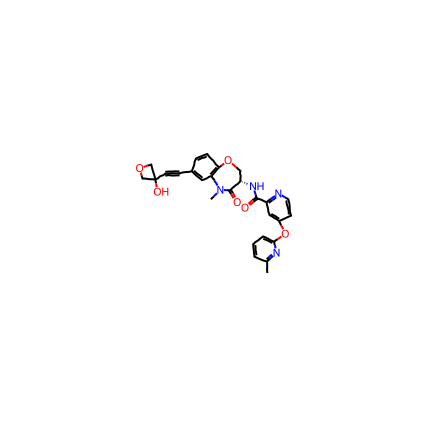 Cc1cccc(Oc2ccnc(C(=O)N[C@H]3COc4ccc(C#CC5(O)COC5)cc4N(C)C3=O)c2)n1